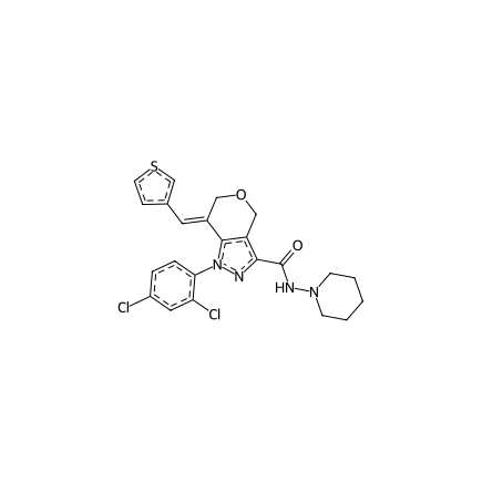 O=C(NN1CCCCC1)c1nn(-c2ccc(Cl)cc2Cl)c2c1COCC2=Cc1ccsc1